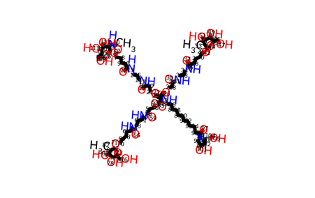 CC(=O)NC1C(OCCCCC(=O)NCCCNC(=O)CCOCC(COCCC(=O)NCCCNC(=O)CCCCOC2OC(CO)C(O)C(O)C2C)(COCCC(=O)NCCCNC(=O)CCCCOC2OC(CO)C(O)C(O)C2C)NC(=O)CCCCCCCCCCC(=O)N2C[C@H](O)C[C@H]2CO)OC(CO)C(O)C1O